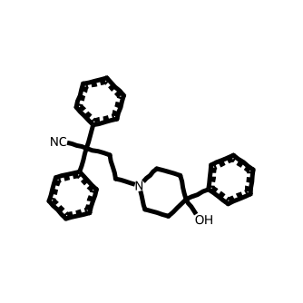 N#CC(CCN1CCC(O)(c2ccccc2)CC1)(c1ccccc1)c1ccccc1